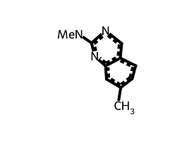 CNc1ncc2ccc(C)cc2n1